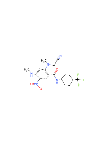 CNc1cc(N(C)CC#N)c(C(=O)N[C@H]2CC[C@H](C(F)(F)F)CC2)cc1[N+](=O)[O-]